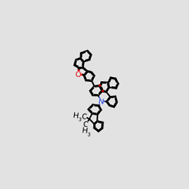 CC1(C)c2ccccc2-c2cc(N(c3ccc(-c4ccc5c(c4)oc4ccc6ccccc6c45)cc3)c3ccccc3-c3cccc4ccccc34)ccc21